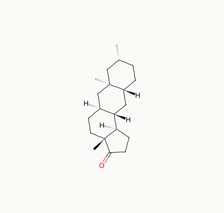 C[C@@H]1CC[C@@H]2C[C@H]3[C@@H](CC[C@@]4(C)C(=O)CC[C@H]34)C[C@@]2(C)C1